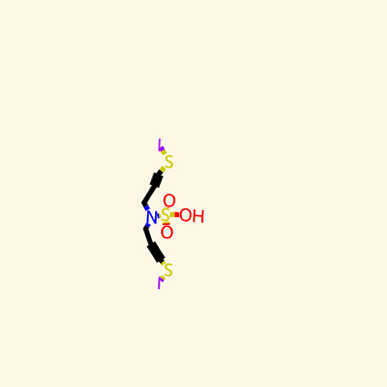 O=S(=O)(O)N(CC#CSI)CC#CSI